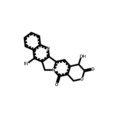 CCc1c2c(nc3ccccc13)-c1cc3c(c(=O)n1C2)COC(=O)C3O